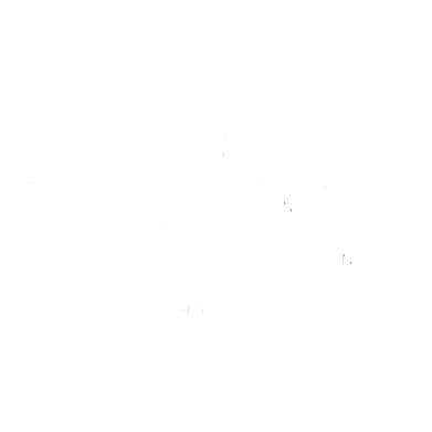 O=C(Cc1cccs1)c1c(O)c2cccnc2n(-c2ccccc2)c1=O